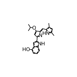 Cc1cc(C)c(/C=C2\N=C(c3cc4c(O)cccc4[nH]3)C=C2OC(C)C)[nH]1